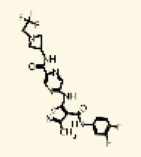 Cc1nsc(Nc2cnc(C(=O)NC3CN(CC(F)(F)F)C3)cn2)c1C(=O)Nc1ccc(F)c(F)c1